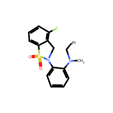 CC(C)CN(C)c1ccccc1N1Cc2c(F)cccc2S1(=O)=O